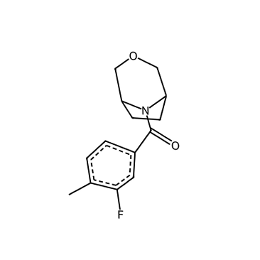 Cc1ccc(C(=O)N2C3CCC2COC3)cc1F